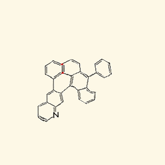 c1ccc(-c2cc3cccnc3cc2-c2c3ccccc3c(-c3ccccc3)c3ccccc23)cc1